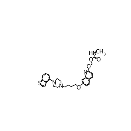 CNC(=O)OCOc1ccc2ccc(OCCCCN3CCN(c4cccc5sccc45)CC3)cc2n1